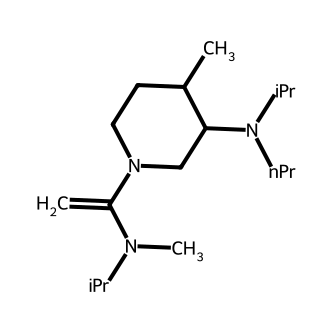 C=C(N1CCC(C)C(N(CCC)C(C)C)C1)N(C)C(C)C